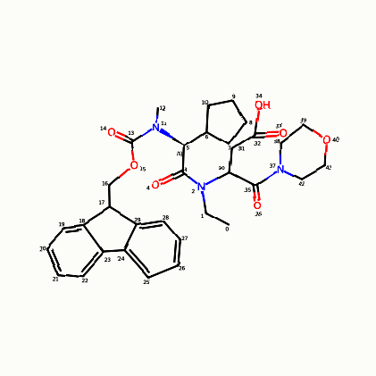 CCN(C(=O)[C@H](C1CCCC1)N(C)C(=O)OCC1c2ccccc2-c2ccccc21)C(CC(=O)O)C(=O)N1CCOCC1